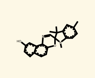 Cc1ccc2c(c1)C(C)(C)C1(C=Nc3c(ccc4ccc(O)cc34)O1)N2C